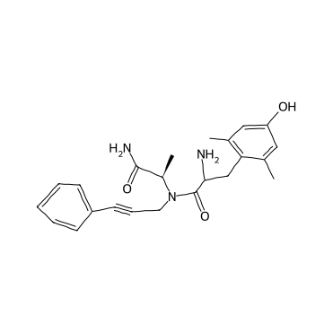 Cc1cc(O)cc(C)c1CC(N)C(=O)N(CC#Cc1ccccc1)[C@H](C)C(N)=O